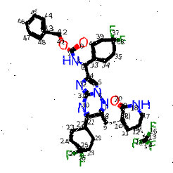 O=C(N[C@H](c1cn2nc(C[C@H]3C[C@@H](C(F)(F)F)CNC3=O)c(C3CCC(F)(F)CC3)nc2n1)C1CCC(F)(F)CC1)OCc1ccccc1